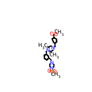 COC(=O)c1ccc(CN2C[C@@H](C)N(Cc3cccc(CN4CCN(S(C)(=O)=O)CC4)c3)[C@@H](C)C2)cc1